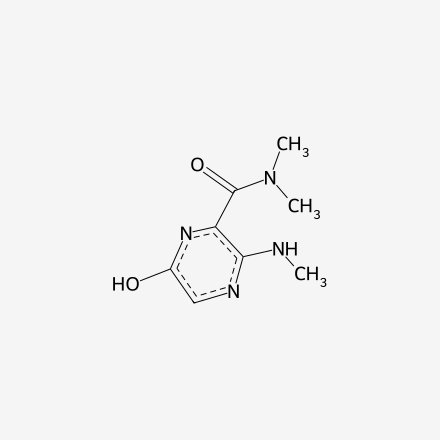 CNc1ncc(O)nc1C(=O)N(C)C